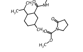 CCNC(=O)C1CC(C)CCC1C(C)C.COC(=O)N1CCCC1=O